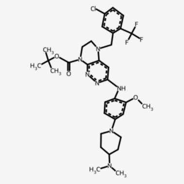 COc1cc(N2CCC(N(C)C)CC2)ccc1Nc1cc2c(nn1)N(C(=O)OC(C)(C)C)CCN2Cc1cc(Cl)ccc1C(F)(F)F